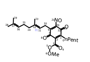 CCCCCC1=C(C(=O)OOC)C(=O)C(C/C=C(\C)CCC=C(C)C)=C(N=O)C1=O